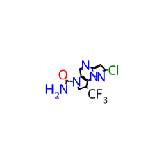 NC(=O)N1C[C@@H](C(F)(F)F)c2c1cnc1cc(Cl)nn21